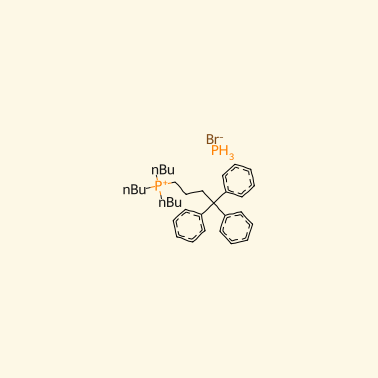 CCCC[P+](CCCC)(CCCC)CCCC(c1ccccc1)(c1ccccc1)c1ccccc1.P.[Br-]